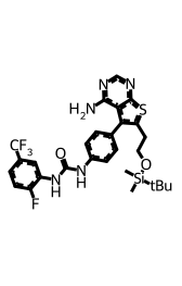 CC(C)(C)[Si](C)(C)OCCc1sc2ncnc(N)c2c1-c1ccc(NC(=O)Nc2cc(C(F)(F)F)ccc2F)cc1